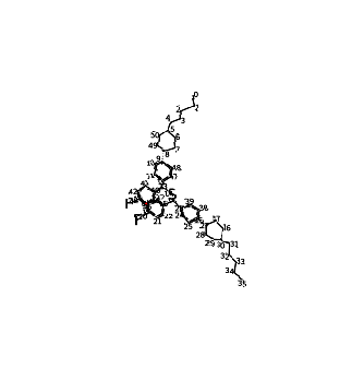 CCCCC[C@H]1CC[C@H](c2ccc(C(SC(c3ccc(F)cc3)c3ccc([C@H]4CC[C@H](CCCCC)CC4)cc3)c3ccc(F)cc3)cc2)CC1